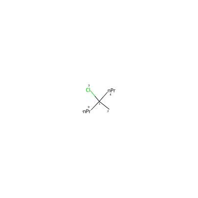 CC[CH]C(C)(Cl)CCC